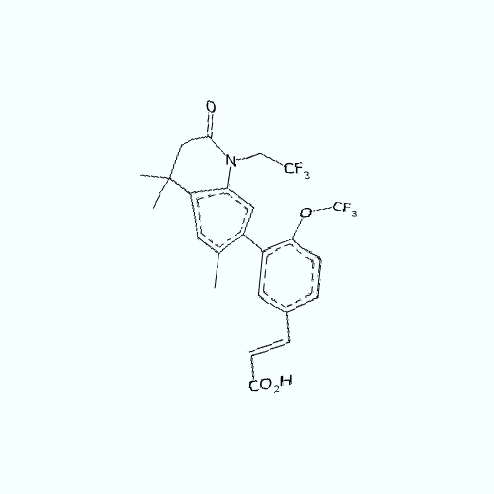 Cc1cc2c(cc1-c1cc(C=CC(=O)O)ccc1OC(F)(F)F)N(CC(F)(F)F)C(=O)CC2(C)C